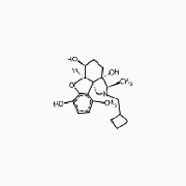 Cc1ccc(O)c2c1[C@]13CCN(CC4CCC4)[C@H](C)[C@]1(O)CC[C@H](O)[C@@H]3O2